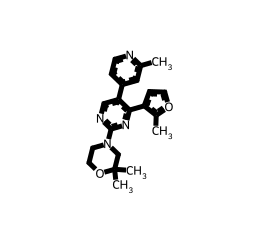 Cc1cc(-c2cnc(N3CCOC(C)(C)C3)nc2-c2ccoc2C)ccn1